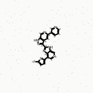 Fc1ccc(-c2cncc3[nH]c(-c4n[nH]c5cnc(-c6cccnc6)cc45)nc23)s1